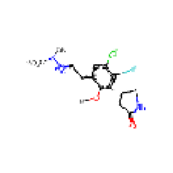 CCOc1c(CCNN(C(=O)O)C(C)(C)C)cc(Cl)c(F)c1[C@@H]1CNC(=O)C1